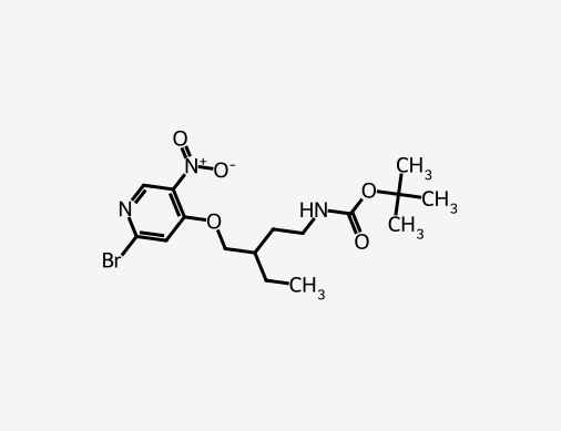 CCC(CCNC(=O)OC(C)(C)C)COc1cc(Br)ncc1[N+](=O)[O-]